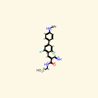 CC(C)Nc1ccc(-c2cc(F)c(/C=C(\C=N)C(=O)NCC(=O)O)c(F)c2)cc1